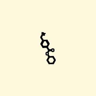 O=C(OC1CCCCC1)c1ccc(CBr)cc1